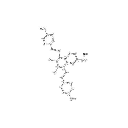 COc1ccc(/N=N/c2c(O)c(O)c(/N=N/c3ccc(OC)cc3)c3cc(S(=O)(=O)O)ccc23)cc1.[NaH]